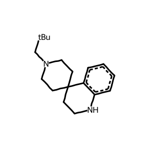 CC(C)(C)CN1CCC2(CCNc3ccccc32)CC1